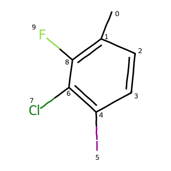 Cc1ccc(I)c(Cl)c1F